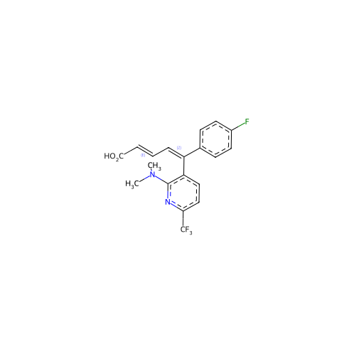 CN(C)c1nc(C(F)(F)F)ccc1/C(=C\C=C\C(=O)O)c1ccc(F)cc1